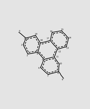 Cc1ccc2c3ccc(C)cc3c3ccccc3c2c1